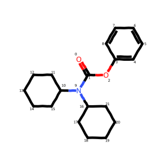 O=C(Oc1ccccc1)N(C1CCCCC1)C1CCCCC1